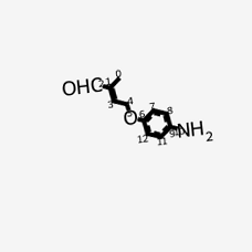 CC(C=O)=CCOc1ccc(N)cc1